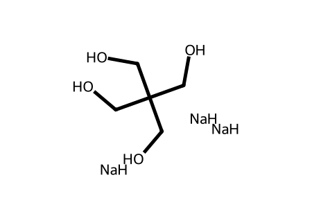 OCC(CO)(CO)CO.[NaH].[NaH].[NaH]